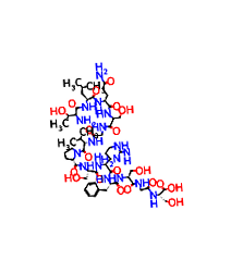 CC(C)C[C@H](NC(=O)[C@@H](N)[C@@H](C)O)C(=O)N[C@@H](CCC(N)=O)C(=O)N[C@@H](CO)C(=O)NCC(=O)N[C@H](C(=O)N1CCC[C@H]1C(=O)N[C@@H](CO)C(=O)N[C@@H](CCCNC(=N)N)C(=O)N[C@@H](Cc1ccccc1)C(=O)N[C@@H](CO)C(=O)NCC(=O)N[C@@H](CO)C(=O)O)C(C)C